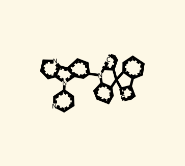 c1cncc(-n2c3cc(N4c5ccccc5C5(c6ccccc6-c6ccccc65)c5ccccc54)ccc3c3ncccc32)c1